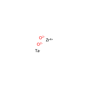 [O-2].[O-2].[Ta].[Zr+4]